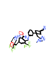 Cn1cnnc1CC1(c2cccc(N3Cc4c(cc(CC5(C(F)(F)F)CNCCO5)cc4C(F)(F)F)C3=O)c2)CC(C#N)C1